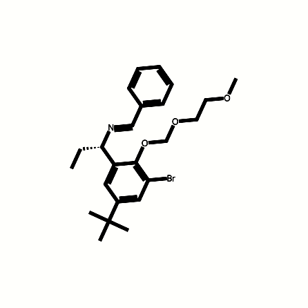 CC[C@H](/N=C/c1ccccc1)c1cc(C(C)(C)C)cc(Br)c1OCOCCOC